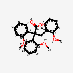 COc1ccccc1CC(C(=O)O)(c1ccccc1OC)c1ccccc1OC